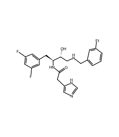 CCc1cccc(CNC[C@@H](O)[C@H](Cc2cc(F)cc(F)c2)NC(=O)Cc2cnc[nH]2)c1